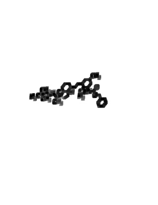 C=C1/C(=C\C=C2/CCC[C@]3(C)[C@@H]([C@H](C)CCCC(C)(C)C)CC[C@@H]23)C[C@@H](C)C[C@@H]1NC(=O)OCc1ccccc1